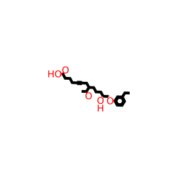 CCc1cccc(OCC(O)CCCC(CC#CCCCC(=O)O)C(C)=O)c1